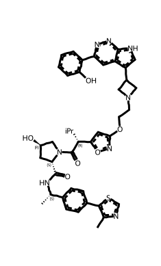 Cc1ncsc1-c1ccc([C@H](C)NC(=O)[C@@H]2C[C@@H](O)CN2C(=O)[C@@H](c2cc(OCCN3CC(c4c[nH]c5nnc(-c6ccccc6O)cc45)C3)no2)C(C)C)cc1